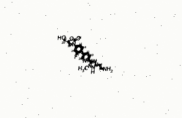 CN1NN(CCN)N=C1c1ccc(-c2ccc(N3C[C@H](CO)OC3=O)cc2F)cn1